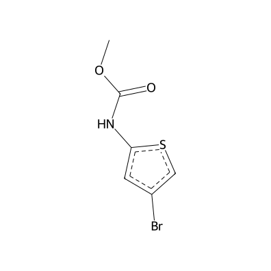 COC(=O)Nc1cc(Br)cs1